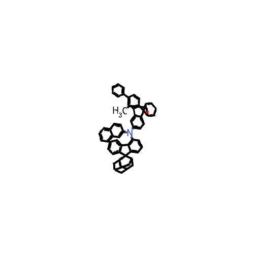 CCC1CCC2CCCC(C1)C21c2ccc(-c3ccccc3)cc2-c2cc(N(c3ccc4ccccc4c3)c3cccc4c3-c3ccccc3C43C4CC5CC(C4)CC3C5)ccc21